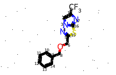 FC(F)(F)c1cn2nc(COCc3ccccc3)sc2n1